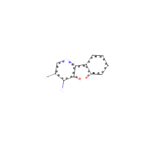 Nc1c([N+](=O)[O-])cnc2c1oc1ccccc12